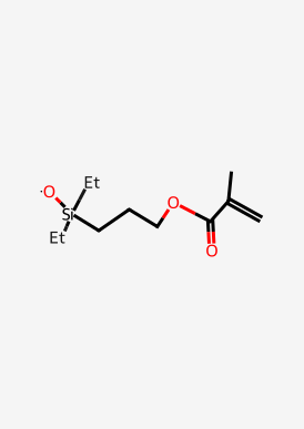 C=C(C)C(=O)OCCC[Si]([O])(CC)CC